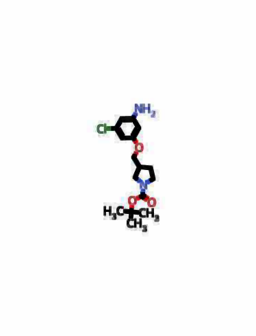 CC(C)(C)OC(=O)N1CCC(COc2cc(N)cc(Cl)c2)C1